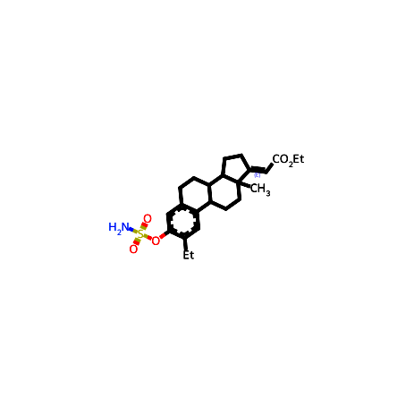 CCOC(=O)/C=C1\CCC2C3CCc4cc(OS(N)(=O)=O)c(CC)cc4C3CCC12C